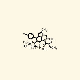 Cc1c([C@H](OC(C)(C)C)C(=O)O)c(-c2ccc(Cl)cc2)c2cc(C)n3c2c1N(C(=O)C(=O)N(C)C)[C@@H](C)C3